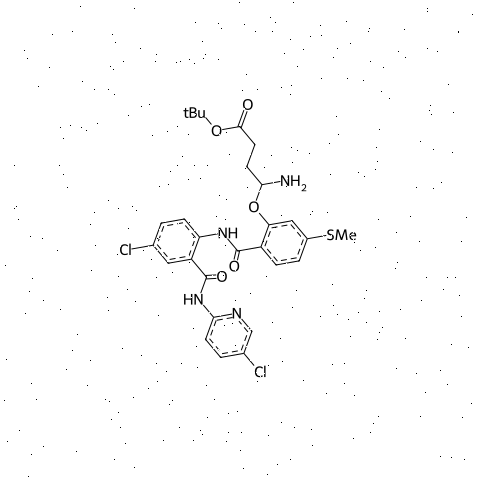 CSc1ccc(C(=O)Nc2ccc(Cl)cc2C(=O)Nc2ccc(Cl)cn2)c(OC(N)CCC(=O)OC(C)(C)C)c1